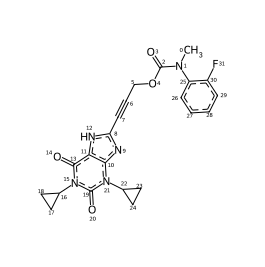 CN(C(=O)OCC#Cc1nc2c([nH]1)c(=O)n(C1CC1)c(=O)n2C1CC1)c1ccccc1F